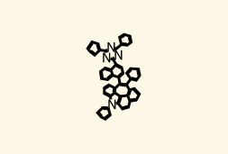 c1ccc(C2=C(c3ccc(-c4nc(-c5ccccc5)nc(-c5ccccc5)n4)c4ccccc34)c3cccc4c3c3c5c2cccc5ccc3n4-c2ccccc2)cc1